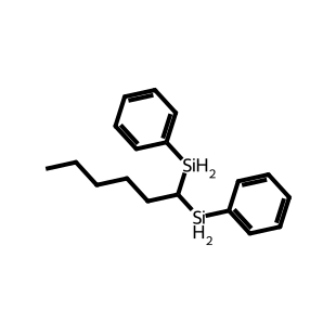 CCCCCC([SiH2]c1ccccc1)[SiH2]c1ccccc1